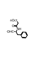 CCCCCCCCCC(=O)N[C@H]([C]=O)Cc1ccccc1